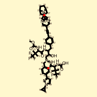 COC(=O)NC(C(=O)NC(Cc1ccc(C#Cc2cnc(N3CC4CCC(C3)N4C3COC3)nc2)cc1)C(O)CN(Cc1ccc(-c2ccn(C3CC3)n2)cc1)NC(=O)C(NC(=O)O)C(C)(C)C(F)(F)F)C(C)(C)C(F)(F)F